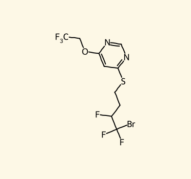 FC(CCSc1cc(OCC(F)(F)F)ncn1)C(F)(F)Br